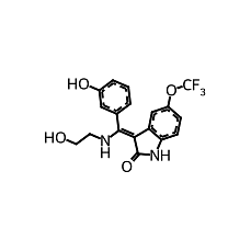 O=C1Nc2ccc(OC(F)(F)F)cc2/C1=C(/NCCO)c1cccc(O)c1